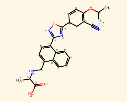 CC(C)OC1=C(C#N)CC(c2nc(-c3ccc(CNC(C)C(=O)O)c4ccccc34)no2)C=C1